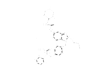 CCCCc1nc2cc(NC(=O)NC3CCCCC3)ccc2n1Cc1ccc(OC(C(=O)O)c2ccccc2)cc1.Cl